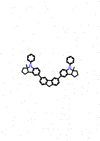 CC12CCCC1c1cc(-c3ccc4c(c3)-c3cc(-c5ccc6c(c5)C5CCCC5(C)N6c5ccccc5)ccc3C4)ccc1N2c1ccccc1